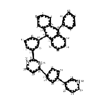 c1ccc(-c2c3ccccc3c(-c3cccc(-c4nccc(-c5ccc(-c6cccnc6)cc5)n4)c3)c3ccccc23)cc1